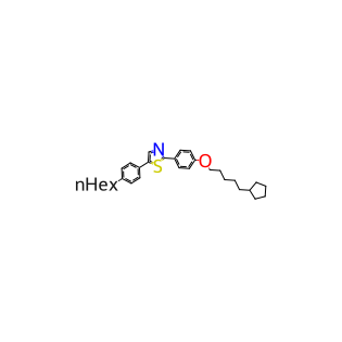 CCCCCCc1ccc(-c2cnc(-c3ccc(OCCCCCC4CCCC4)cc3)s2)cc1